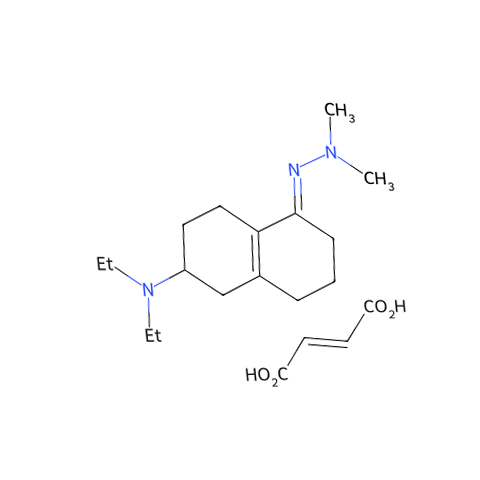 CCN(CC)C1CCC2=C(CCCC2=NN(C)C)C1.O=C(O)C=CC(=O)O